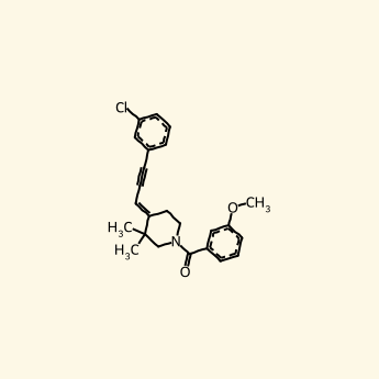 COc1cccc(C(=O)N2CC/C(=C\C#Cc3cccc(Cl)c3)C(C)(C)C2)c1